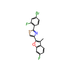 Cc1c(-c2csc(-c3ccc(Br)cc3F)n2)oc2cc(F)ccc12